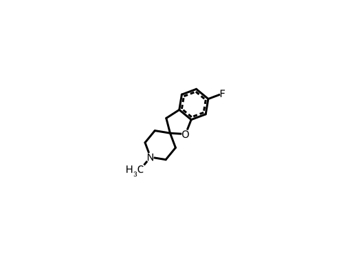 CN1CCC2(CC1)Cc1ccc(F)cc1O2